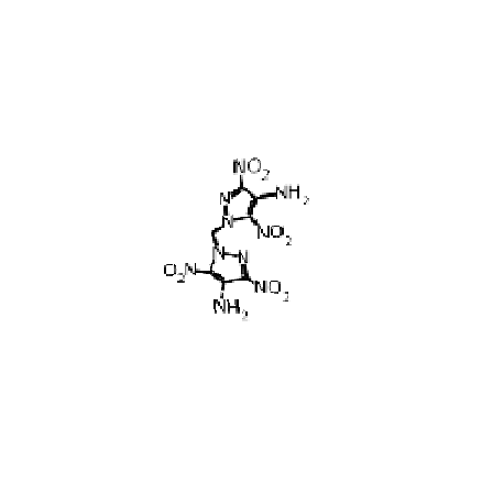 Nc1c([N+](=O)[O-])nn(Cn2nc([N+](=O)[O-])c(N)c2[N+](=O)[O-])c1[N+](=O)[O-]